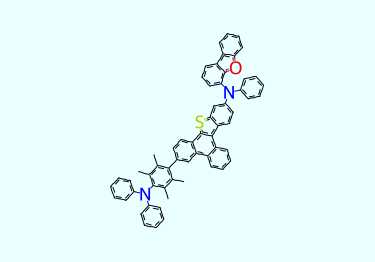 Cc1c(C)c(N(c2ccccc2)c2ccccc2)c(C)c(C)c1-c1ccc2c(c1)c1ccccc1c1c3ccc(N(c4ccccc4)c4cccc5c4oc4ccccc45)cc3sc21